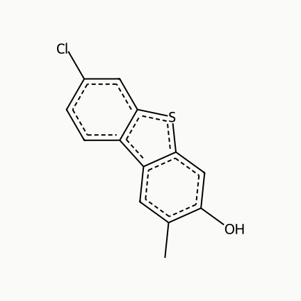 Cc1cc2c(cc1O)sc1cc(Cl)ccc12